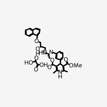 COC(=O)C1=C(C)NC(C)=C(C(=O)OCCNCC(O)COc2cccc3ccccc23)C1c1cccc([N+](=O)[O-])c1.O=C(O)C(=O)O